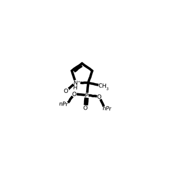 CCCOP(=O)(OCCC)C1(C)CC=C[NH+]1[O-]